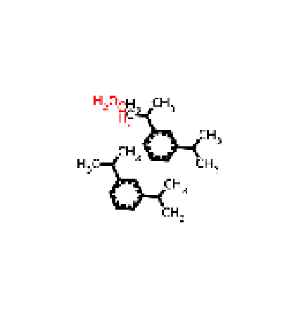 CC(C)c1cccc(C(C)C)c1.CC(C)c1cccc(C(C)C)c1.O.O